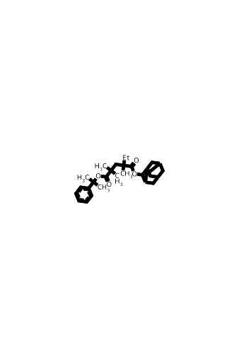 CCC(C)(CC(C)(C)C(=O)OC(C)(C)c1ccccc1)C(=O)OC1C2CC3CC(C2)CC1C3